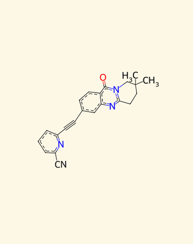 CC1(C)CCc2nc3cc(C#Cc4cccc(C#N)n4)ccc3c(=O)n2C1